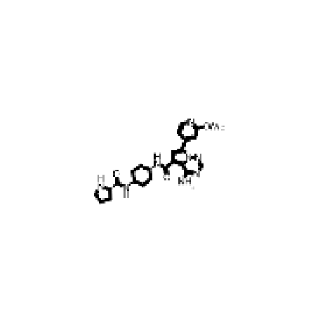 COc1cc(-c2cc(C(=O)N[C@H]3CC[C@H](NC(=O)[C@H]4CCCN4)CC3)c3c(N)ncnn23)ccn1